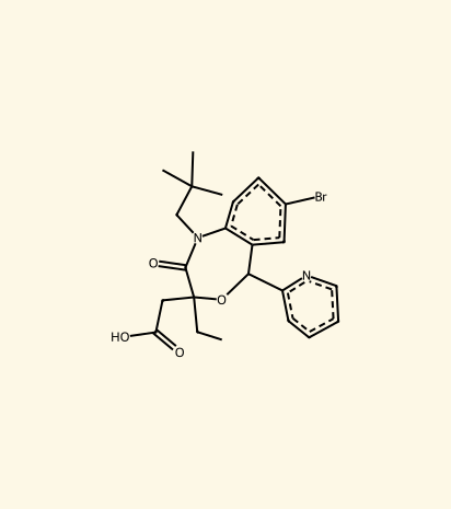 CCC1(CC(=O)O)OC(c2ccccn2)c2cc(Br)ccc2N(CC(C)(C)C)C1=O